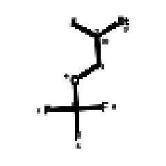 CC[C@H](C)COC(F)(F)F